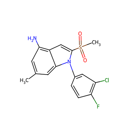 Cc1cc(N)c2cc(S(C)(=O)=O)n(-c3ccc(F)c(Cl)c3)c2c1